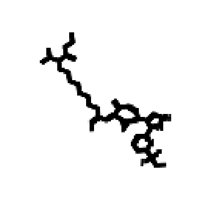 C=C1\C=C/C(c2c[nH]nc2-c2cccc(C(F)(F)CC)n2)=C/C=C/C1=C/C(=C\C)CCCCCCCCC(C(=C)CCC)C(C)C